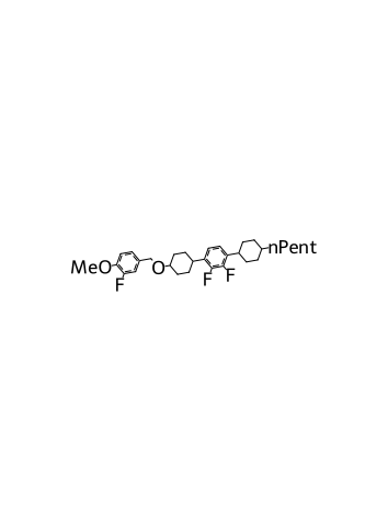 CCCCCC1CCC(c2ccc(C3CCC(OCc4ccc(OC)c(F)c4)CC3)c(F)c2F)CC1